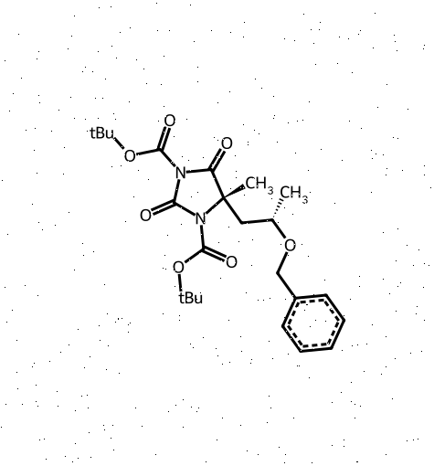 C[C@@H](C[C@@]1(C)C(=O)N(C(=O)OC(C)(C)C)C(=O)N1C(=O)OC(C)(C)C)OCc1ccccc1